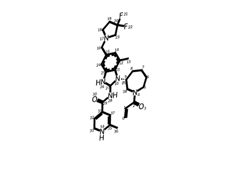 C=CC(=O)N1CCCC[C@@H](N2c3c(C)cc(CN4CCC(F)(F)C4)cc3NC2NC(=O)C2=CCNC(C)=C2)C1